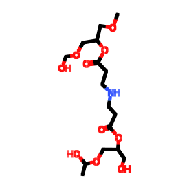 COCC(COCO)OC(=O)CCNCCC(=O)OC(CO)COC(C)O